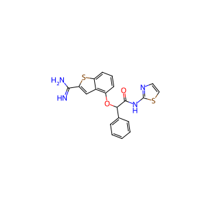 N=C(N)c1cc2c(OC(C(=O)Nc3nccs3)c3ccccc3)cccc2s1